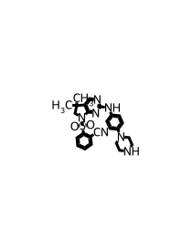 CC1(C)CN(S(=O)(=O)c2ccccc2C#N)c2nc(Nc3ccc(N4CCNCC4)cc3)ncc21